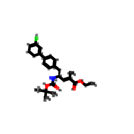 CCOC(=O)/C(C)=C/[C@@H](Cc1ccc(C2=CC(Cl)=CCC2)cc1)NC(=O)OC(C)(C)C